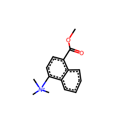 COC(=O)c1ccc([N+](C)(C)C)c2ccccc12